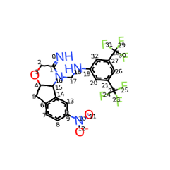 N=C1COC2Cc3ccc([N+](=O)[O-])cc3C2N1CNc1cc(C(F)(F)F)cc(C(F)(F)F)c1